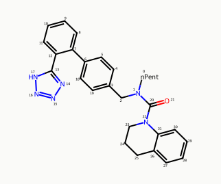 CCCCCN(Cc1ccc(-c2ccccc2-c2nnn[nH]2)cc1)C(=O)N1CCCc2ccccc21